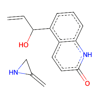 C=C1CN1.C=CC(O)c1cccc2[nH]c(=O)ccc12